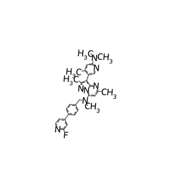 Cc1cc(N(C)Cc2ccc(-c3ccnc(F)c3)cc2)n2nc(C)c(-c3cnc(N(C)C)cc3C)c2n1